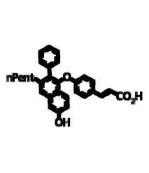 CCCCCc1cc2cc(O)ccc2c(Oc2ccc(C=CC(=O)O)cc2)c1-c1ccccc1